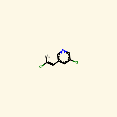 FC(F)(F)/C(Cl)=C\c1cn[c]c(Cl)c1